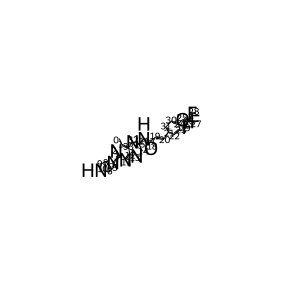 Cc1nc(N2CC3CC2CN3)nc2ncc(NC(=O)/C=C/c3ccc(OC(F)(F)F)cc3)nc12